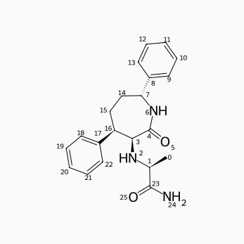 C[C@H](N[C@@H]1C(=O)N[C@@H](c2ccccc2)CC[C@@H]1c1ccccc1)C(N)=O